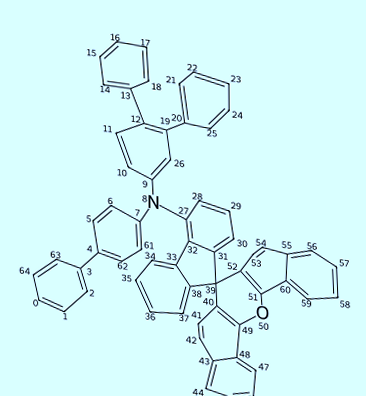 c1ccc(-c2ccc(N(c3ccc(-c4ccccc4)c(-c4ccccc4)c3)c3cccc4c3-c3ccccc3C43c4ccc5ccccc5c4Oc4c3ccc3ccccc43)cc2)cc1